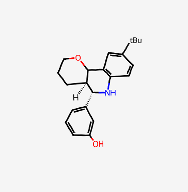 CC(C)(C)c1ccc2c(c1)C1OCCC[C@@H]1[C@@H](c1cccc(O)c1)N2